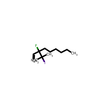 C=CC(F)(CCCCCC)C(C)(C)I